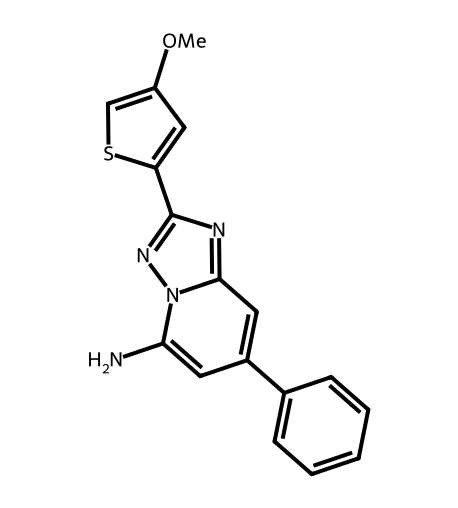 COc1csc(-c2nc3cc(-c4ccccc4)cc(N)n3n2)c1